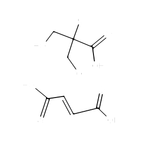 CC(CO)(CO)C(=O)O.O=C(O)/C=C/C(=O)O